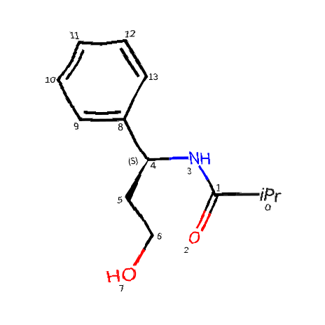 CC(C)C(=O)N[C@@H](CCO)c1ccccc1